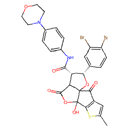 Cc1cc2c(s1)C1(O)OC(=O)C3[C@H](C(=O)Nc4ccc(N5CCOCC5)cc4)[C@H](c4ccc(Br)c(Br)c4)OC31C2=O